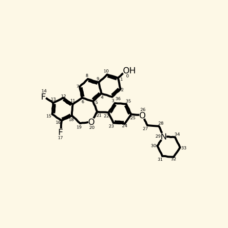 Oc1ccc2c3c(ccc2c1)-c1cc(F)cc(F)c1COC3c1ccc(OCCN2CCCCC2)cc1